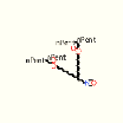 CCCCCC(CCCCC)CC(=O)OCCCCCCCCC(CCCCCCCCOC(=O)CC(CCCCC)CCCCC)CCCN1CCOCC1